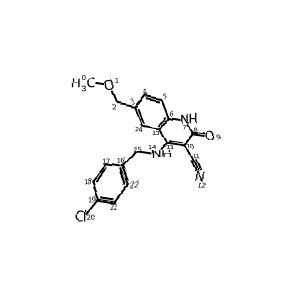 COCc1ccc2[nH]c(=O)c(C#N)c(NCc3ccc(Cl)cc3)c2c1